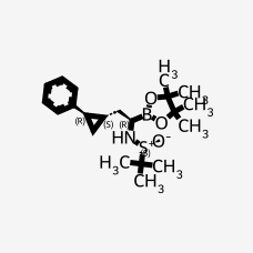 CC(C)(C)[S@@+]([O-])N[C@@H](C[C@@H]1C[C@H]1c1ccccc1)B1OC(C)(C)C(C)(C)O1